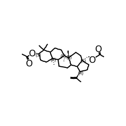 C=C(C)[C@@H]1CC[C@]2(COC(C)=O)CC[C@]3(C)C(CCC4[C@@]5(C)CC[C@H](OC(C)=O)C(C)(C)C5CC[C@]43C)C12